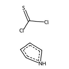 S=C(Cl)Cl.c1cc[nH]c1